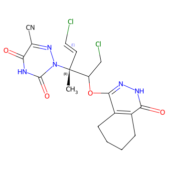 C[C@@](/C=C/Cl)(C(CCl)Oc1n[nH]c(=O)c2c1CCCC2)n1nc(C#N)c(=O)[nH]c1=O